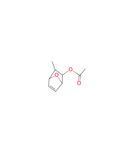 CC(=O)OC1C2C=CC(O2)C1C